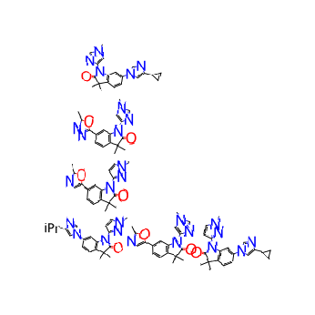 CC(C)c1cn(-c2ccc3c(c2)N(c2ccn(C)n2)C(=O)C3(C)C)cn1.Cc1ncc(-c2ccc3c(c2)N(c2ccn(C)n2)C(=O)C3(C)C)o1.Cc1ncc(-c2ccc3c(c2)N(c2cn(C)cn2)C(=O)C3(C)C)o1.Cc1nnc(-c2ccc3c(c2)N(c2cn(C)cn2)C(=O)C3(C)C)o1.Cn1ccc(N2C(=O)C(C)(C)c3ccc(-n4cnc(C5CC5)c4)cc32)n1.Cn1cnc(N2C(=O)C(C)(C)c3ccc(-n4cnc(C5CC5)c4)cc32)c1